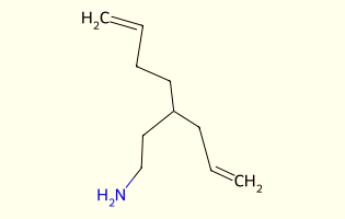 C=CCCC(CC=C)CCN